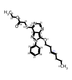 CCC/C=C/CCOc1c2ncnc(SCC(=O)OCC)c2nn1-c1ccccc1